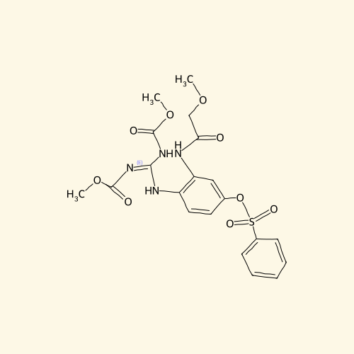 COCC(=O)Nc1cc(OS(=O)(=O)c2ccccc2)ccc1N/C(=N\C(=O)OC)NC(=O)OC